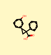 O=C(O)C1(c2ccccc2)CC1.Oc1ccccc1